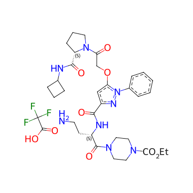 CCOC(=O)N1CCN(C(=O)[C@H](CCN)NC(=O)c2cc(OCC(=O)N3CCC[C@H]3C(=O)NC3CCC3)n(-c3ccccc3)n2)CC1.O=C(O)C(F)(F)F